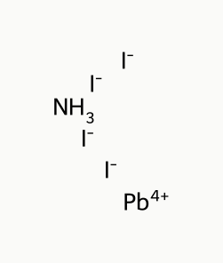 N.[I-].[I-].[I-].[I-].[Pb+4]